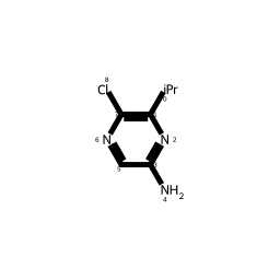 CC(C)c1nc(N)cnc1Cl